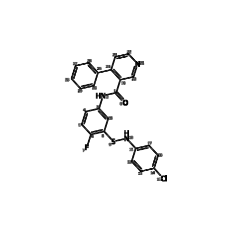 O=C(Nc1ccc(F)c(SNc2ccc(Cl)cc2)c1)c1cnccc1-c1ccccc1